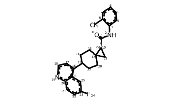 O=C(Nc1ccccc1Cl)[C@H]1CC12CCC(c1ccnc3ccc(F)cc13)CC2